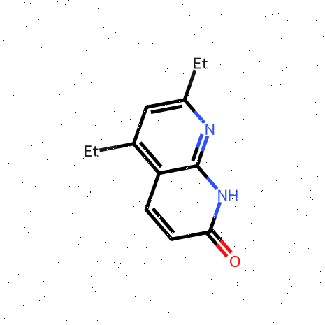 CCc1cc(CC)c2ccc(=O)[nH]c2n1